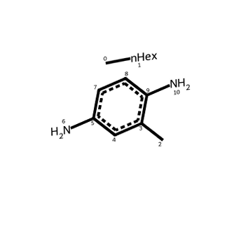 CCCCCCC.Cc1cc(N)ccc1N